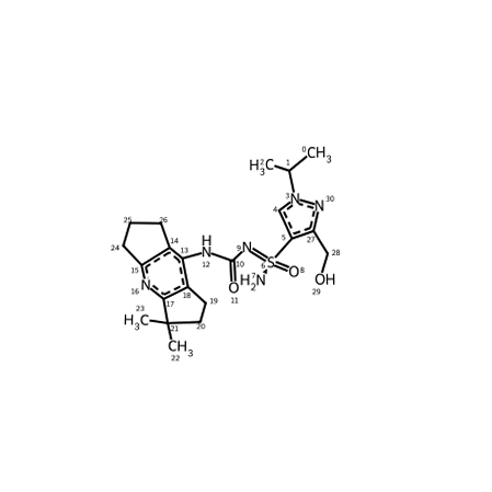 CC(C)n1cc([S@](N)(=O)=NC(=O)Nc2c3c(nc4c2CCC4(C)C)CCC3)c(CO)n1